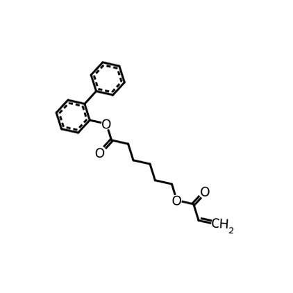 C=CC(=O)OCCCCCC(=O)Oc1ccccc1-c1ccccc1